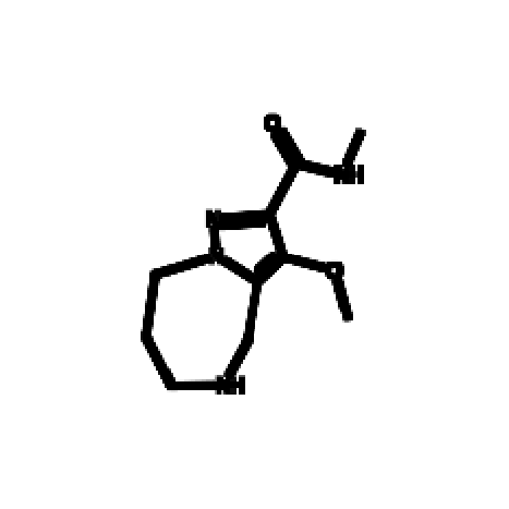 CNC(=O)c1nn2c(c1OC)CNCCC2